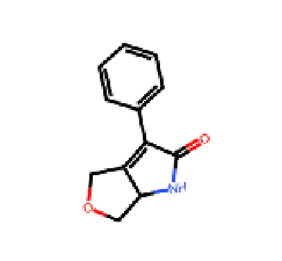 O=C1NC2COCC2=C1c1ccccc1